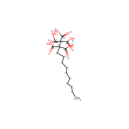 CCCCCCCCCCC(C(=O)O)(C(=O)O)C(C(=O)O)(C(=O)O)C(=O)O